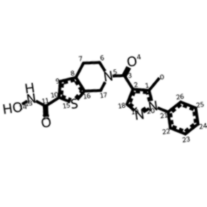 Cc1c(C(=O)N2CCc3cc(C(=O)NO)sc3C2)cnn1-c1ccccc1